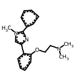 CN(C)CCOc1ccccc1-c1cn(C)c(-c2ccccc2)n1